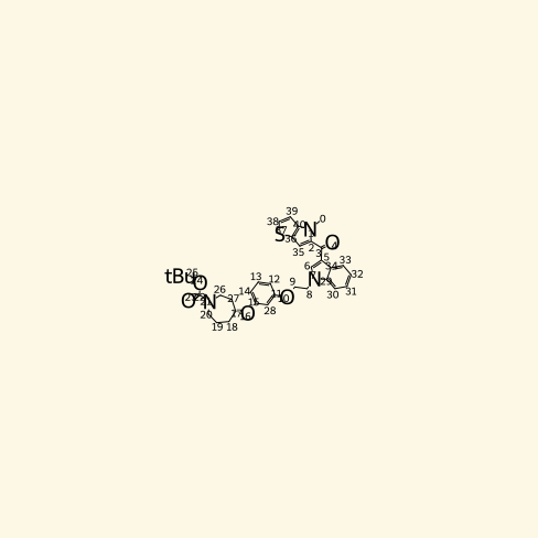 Cn1c(C(=O)c2cn(CCOc3cccc(O[C@@H]4CCCN(C(=O)OC(C)(C)C)CC4)c3)c3ccccc23)cc2sccc21